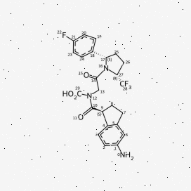 Nc1ccc2c(c1)CC[C@@H]2C(=O)N(CC(=O)N1[C@H](c2ccc(F)cc2)CC[C@@H]1C(F)(F)F)C(=O)O